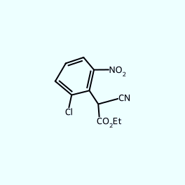 CCOC(=O)C(C#N)c1c(Cl)cccc1[N+](=O)[O-]